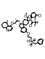 COC(=O)C1(N(C(=O)C(F)(F)F)c2cccc(Cl)c2)CCC2(CC1)c1cc(OCCNS(=O)(=O)Cc3ccccc3)ccc1C[C@@H]2C[C@@H](C)COc1ccnc2c1[C@H](C)CCC2